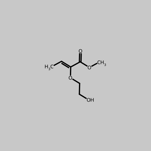 CC=C(OCCO)C(=O)OC